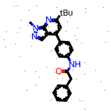 Cn1ncc2c(-c3ccc(NC(=O)Cc4ccccc4)cc3)cc(C(C)(C)C)nc21